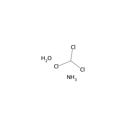 ClC(Cl)Cl.N.O